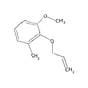 C=CCOc1c(C)cccc1OC